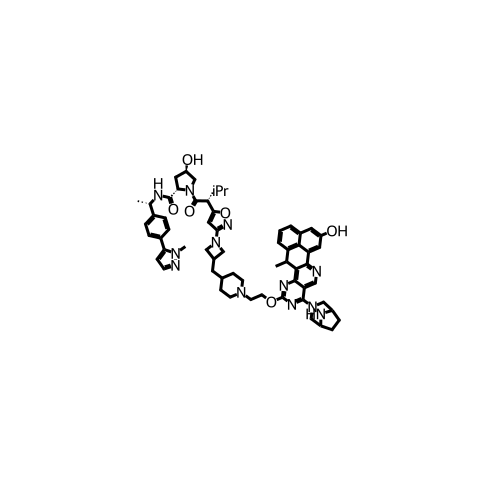 CC1c2c(ncc3c(N4CC5CCC(C4)N5)nc(OCCN4CCC(CC5CN(c6cc([C@H](C(=O)N7C[C@H](O)C[C@H]7C(=O)N[C@@H](C)c7ccc(-c8ccnn8C)cc7)C(C)C)on6)C5)CC4)nc23)-c2cc(O)cc3cccc1c23